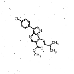 COC(=O)c1cnc2c(-c3ccc(Cl)cc3)cnn2c1/C=C/N(C)C